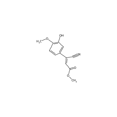 COC(=O)C=C(C#N)c1ccc(OC)c(O)c1